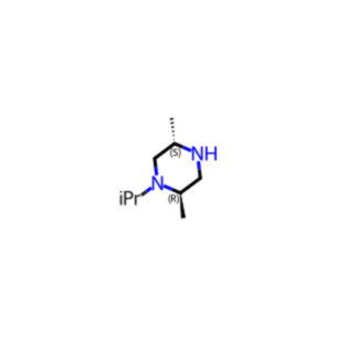 CC(C)N1C[C@H](C)NC[C@H]1C